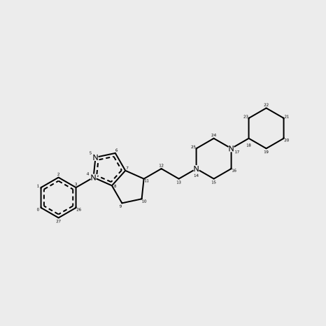 c1ccc(-n2ncc3c2CCC3CCN2CCN(C3CCCCC3)CC2)cc1